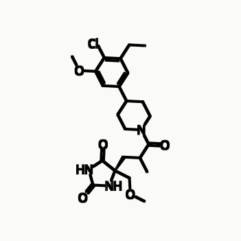 CCc1cc(C2CCN(C(=O)C(C)C[C@@]3(COC)NC(=O)NC3=O)CC2)cc(OC)c1Cl